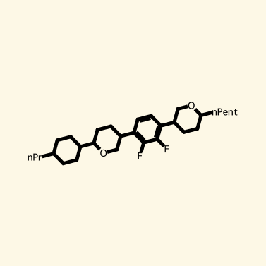 CCCCCC1CCC(c2ccc(C3CCC(C4CCC(CCC)CC4)OC3)c(F)c2F)CO1